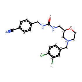 N#Cc1ccc(CNC(=O)NCC2CN(Cc3ccc(Cl)c(Cl)c3)CCO2)cc1